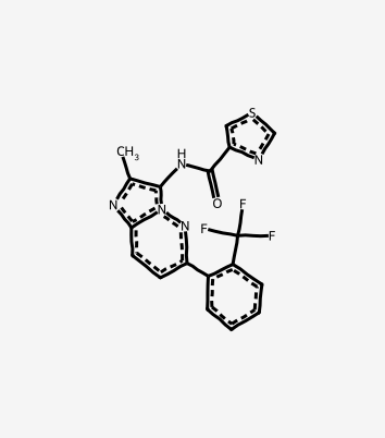 Cc1nc2ccc(-c3ccccc3C(F)(F)F)nn2c1NC(=O)c1cscn1